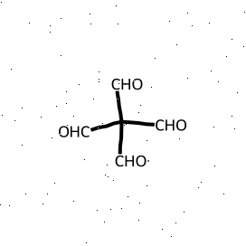 O=[C]C(C=O)(C=O)C=O